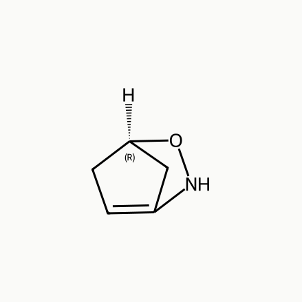 C1=C2C[C@@H](C1)ON2